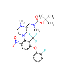 CN(C[C@H]1CN(c2c([N+](=O)[O-])ccc(Oc3ccccc3F)c2C(F)(F)F)CCN1C)C(=O)OC(C)(C)C